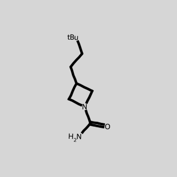 CC(C)(C)CCC1CN(C(N)=O)C1